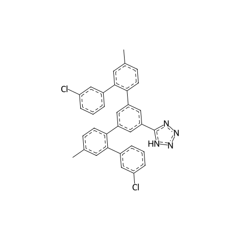 Cc1ccc(-c2cc(-c3nnn[nH]3)cc(-c3ccc(C)cc3-c3cccc(Cl)c3)c2)c(-c2cccc(Cl)c2)c1